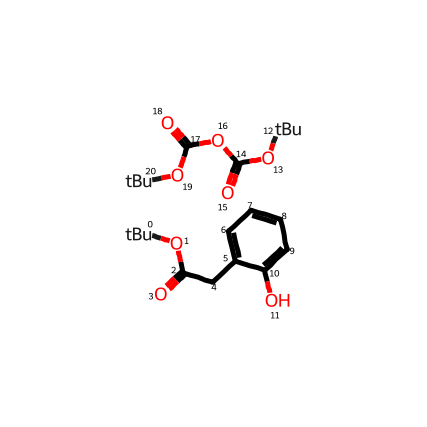 CC(C)(C)OC(=O)Cc1ccccc1O.CC(C)(C)OC(=O)OC(=O)OC(C)(C)C